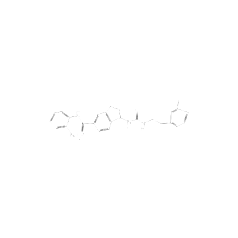 Cc1cccc(CCNC(=O)NC2CCc3cc(C(=O)Nc4ccccc4N)ccc32)c1